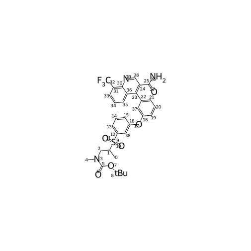 CC(CN(C)C(=O)OC(C)(C)C)S(=O)(=O)c1cccc(Oc2cccc(-c3c(C(N)=O)cnc4c(C(F)(F)F)cccc34)c2)c1